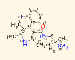 CC1=C(C)C(c2ccccc2I)C(C(=O)NCC(C)(C)N)=C(C)N1